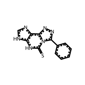 S=c1[nH]c2[nH]cnc2c2nnc(-c3ccccc3)n12